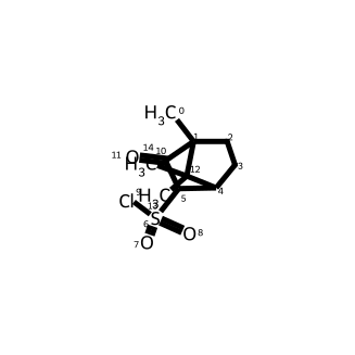 CC12CCC(C(S(=O)(=O)Cl)C1=O)C2(C)C